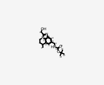 CC1CCn2c(CO)nc3cc(CNC(=O)OC(C)(C)C)cc1c32